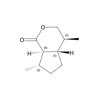 C[C@@H]1COC(=O)[C@H]2[C@H]1CC[C@@H]2C